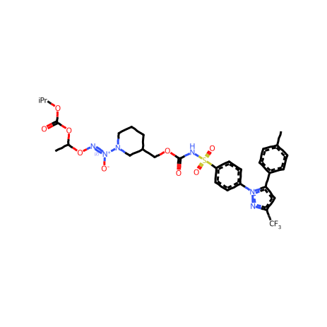 Cc1ccc(-c2cc(C(F)(F)F)nn2-c2ccc(S(=O)(=O)NC(=O)OCC3CCCN(/[N+]([O-])=N/OC(C)OC(=O)OC(C)C)C3)cc2)cc1